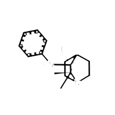 C[C@@H]1[C@@H](Nc2ccccc2)C2CCN1CC2